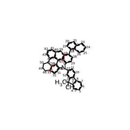 CC1(C)c2ccccc2-c2ccc(N(c3ccc(-c4cccc5ccccc45)cc3)c3ccccc3-c3cccc4cccc(C5CCCCC5)c34)cc21